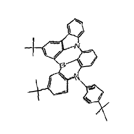 CC(C)(C)c1ccc(N2c3ccc(C(C)(C)C)cc3B3c4c2cccc4-n2c4ccccc4c4cc(C(C)(C)C)cc3c42)cc1